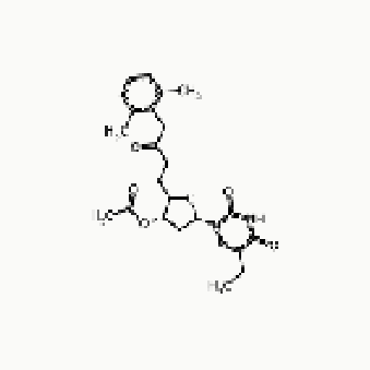 CCc1cn([C@H]2C[C@H](OC(C)=O)[C@@H](CCC(=O)Cc3c(C)cccc3C)O2)c(=O)[nH]c1=O